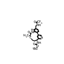 C[C@@H]1CCC[C@H](NC(=O)OC(C)(C)C)c2cncc(c2)-c2ccc(CNC(=O)C(F)(F)F)cc2NC1=O